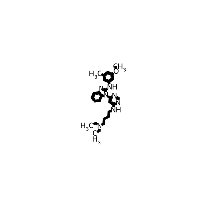 CCN(CC)CCCCNc1cc(-n2c(Nc3cc(C)cc(OC)c3)nc3ccccc32)ncn1